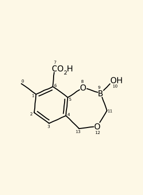 Cc1ccc2c(c1C(=O)O)OB(O)COC2